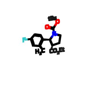 CCOC(=O)[C@H]1CCN(C(=O)OC(C)(C)C)[C@@H]1c1ccc(F)cc1C